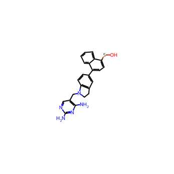 Nc1ncc(CN2CCc3cc(-c4ccc(SO)c5ccccc45)ccc32)c(N)n1